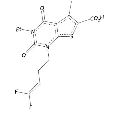 CCn1c(=O)c2c(C)c(C(=O)O)sc2n(CCC=C(F)F)c1=O